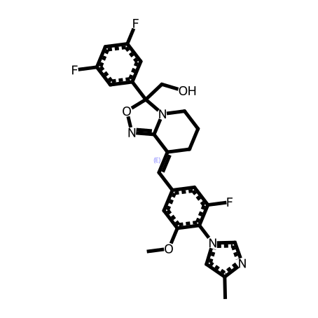 COc1cc(/C=C2\CCCN3C2=NOC3(CO)c2cc(F)cc(F)c2)cc(F)c1-n1cnc(C)c1